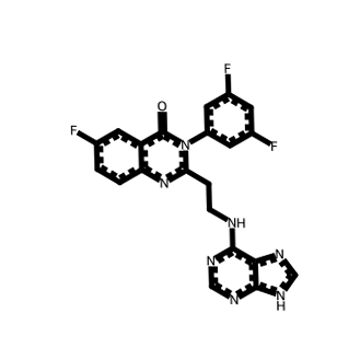 O=c1c2cc(F)ccc2nc(CCNc2ncnc3[nH]cnc23)n1-c1cc(F)cc(F)c1